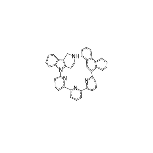 C1=Cc2c(c3ccccc3n2-c2cccc(-c3cccc(-c4cccc(-c5cc6ccccc6c6ccccc56)n4)n3)n2)CN1